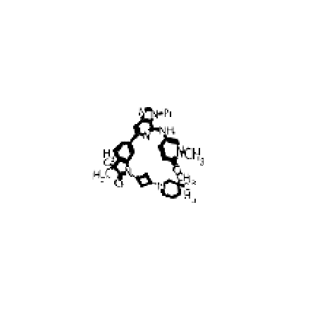 CC(C)n1cnc2cc(-c3ccc4c(c3)N([C@H]3C[C@@H](N5CCCC(C)(C)C5)C3)C(=O)C4(C)C)nc(Nc3ccc(=O)n(C)c3)c21